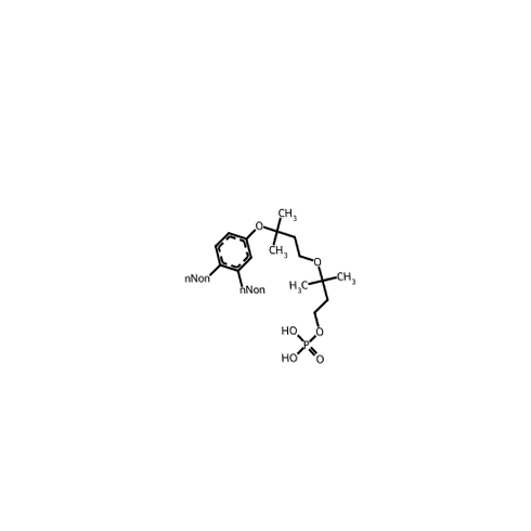 CCCCCCCCCc1ccc(OC(C)(C)CCOC(C)(C)CCOP(=O)(O)O)cc1CCCCCCCCC